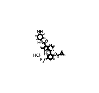 Cc1[nH]c2c(-c3cc(C(F)(F)F)ccc3OCC3CC3)ncnc2c1C(=O)N[C@H]1CC[C@H](N)CC1.Cl